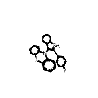 Fc1ccc(-c2[nH]c3ccccc3c2N2c3ccccc3Sc3ccccc32)cc1